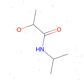 CC(C)NC(=O)C(C)[O]